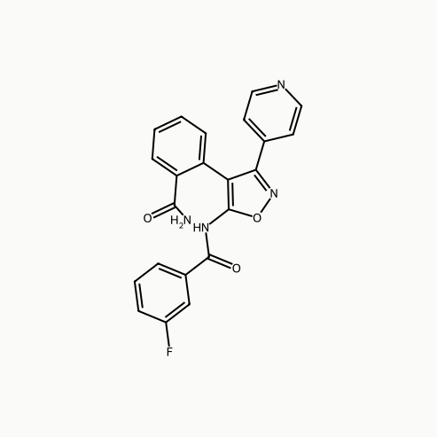 NC(=O)c1ccccc1-c1c(-c2ccncc2)noc1NC(=O)c1cccc(F)c1